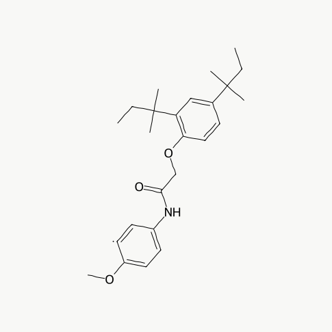 CCC(C)(C)c1ccc(OCC(=O)Nc2c[c]c(OC)cc2)c(C(C)(C)CC)c1